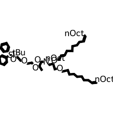 CCCCCCCC/C=C\CCCCCCCCOCC(CN(CCCCCCCC)C(=O)C(C)OCCOCCO[Si](c1ccccc1)(c1ccccc1)C(C)(C)C)OCCCCCCCC/C=C\CCCCCCCC